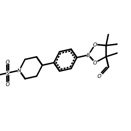 CC1(C)OB(c2ccc(C3CCN(S(C)(=O)=O)CC3)cc2)OC1(C)C=O